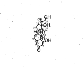 C[C@]12C(O)=CC(=O)C=C1CC[C@@H]1[C@@H]2CC[C@@]2(C)[C@H]1CC[C@]2(O)C(=O)CO